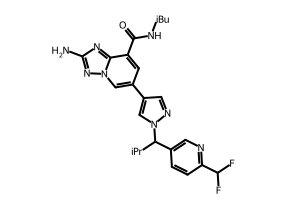 CCC(C)NC(=O)c1cc(-c2cnn(C(c3ccc(C(F)F)nc3)C(C)C)c2)cn2nc(N)nc12